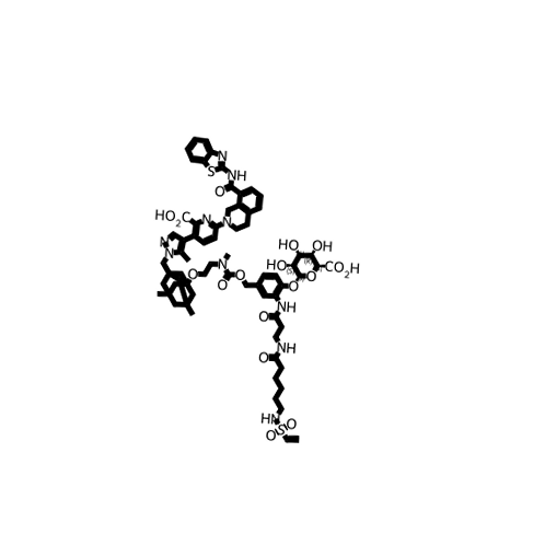 C=CS(=O)(=O)NCCCCCC(=O)NCCC(=O)Nc1cc(COC(=O)N(C)CCOC23CC4(C)CC(C)(CC(Cn5ncc(-c6ccc(N7CCc8cccc(C(=O)Nc9nc%10ccccc%10s9)c8C7)nc6C(=O)O)c5C)(C4)C2)C3)ccc1O[C@@H]1O[C@H](C(=O)O)[C@H](O)[C@H](O)[C@@H]1O